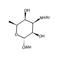 CO[C@@H]1O[C@@H](C)[C@@H](O)[C@@H](NC(C)=O)[C@H]1O